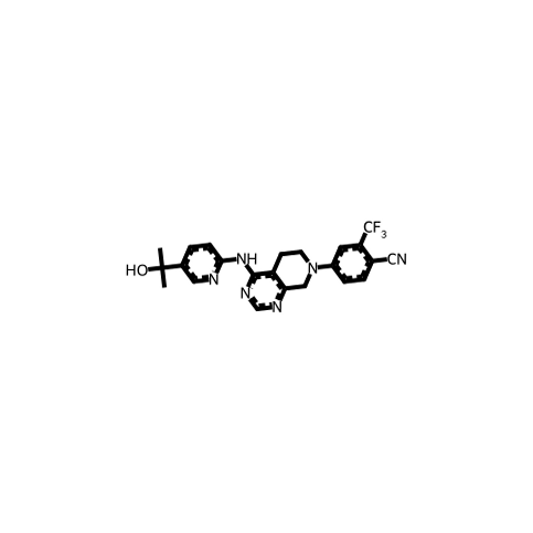 CC(C)(O)c1ccc(Nc2ncnc3c2CCN(c2ccc(C#N)c(C(F)(F)F)c2)C3)nc1